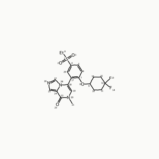 CCS(=O)(=O)c1ccc(OC2CCC(F)(F)CC2)c(-c2cn(C)c(=O)c3cncn23)c1